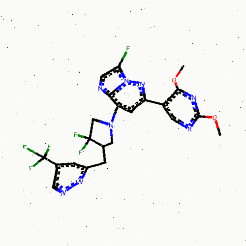 COc1ncc(-c2cc(N3CC(Cc4cc(C(F)(F)F)cnn4)C(F)(F)C3)c3ncc(F)n3n2)c(OC)n1